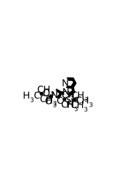 CC(C)(C)OC(=O)N1CC(n2c([Si](F)(C(C)(C)C)C(C)(C)C)cc3cccnc32)C1